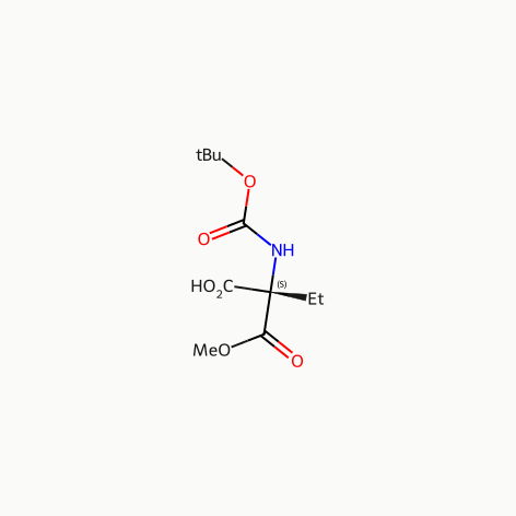 CC[C@](NC(=O)OC(C)(C)C)(C(=O)O)C(=O)OC